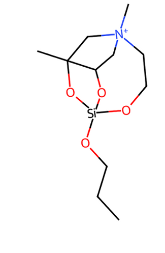 CCCO[Si]12OCC[N+](C)(CCO1)CC(C)O2